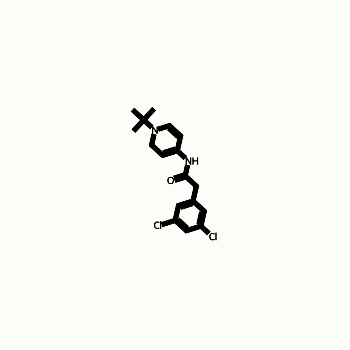 CC(C)(C)N1C=CC(NC(=O)Cc2cc(Cl)cc(Cl)c2)=CC1